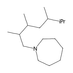 CC(C)C(C)CC(C)C(C)CN1CCCCCC1